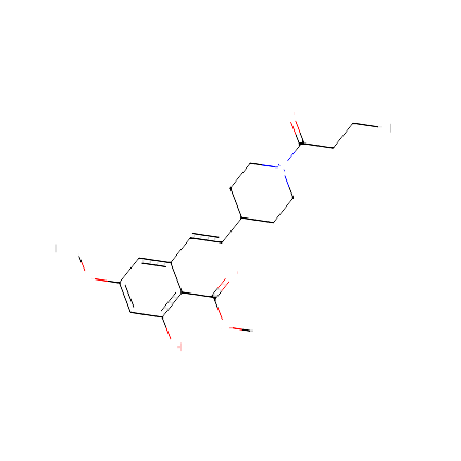 CCCC(=O)N1CCC(C=Cc2cc(OC)cc(O)c2C(=O)OC)CC1